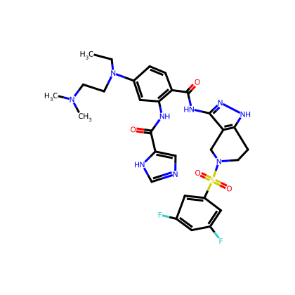 CCN(CCN(C)C)c1ccc(C(=O)Nc2n[nH]c3c2CN(S(=O)(=O)c2cc(F)cc(F)c2)CC3)c(NC(=O)c2cnc[nH]2)c1